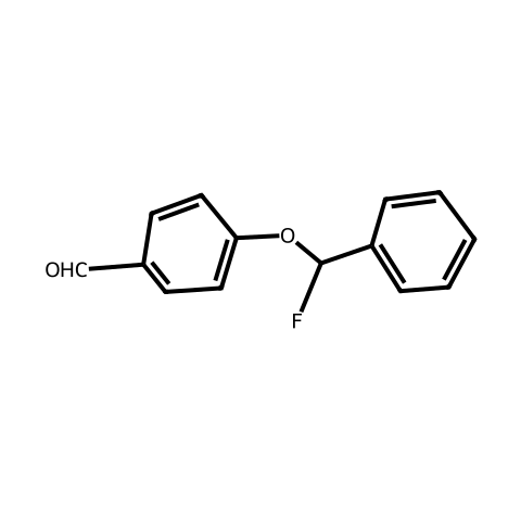 O=Cc1ccc(OC(F)c2ccccc2)cc1